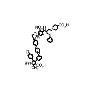 Cc1c(C(=O)O)c(-c2cccc(N3CCN(c4ccc(N5CCOP5(=O)c5ccc(NC(CCN6CCC(C(=O)O)CC6)CSc6ccccc6)c([N+](=O)[O-])c5)cc4)CC3)c2)c(-c2ccc(Cl)cc2)n1C(C)C